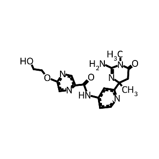 CN1C(=O)CC(C)(c2cc(NC(=O)c3cnc(OCCO)cn3)ccn2)N=C1N